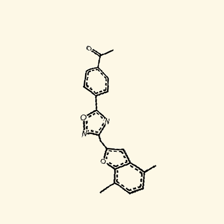 CC(=O)c1ccc(-c2nc(-c3cc4c(C)ccc(C)c4o3)no2)cc1